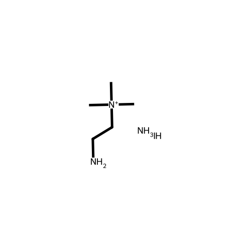 C[N+](C)(C)CCN.I.N